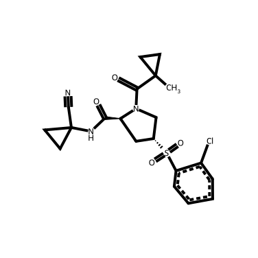 CC1(C(=O)N2C[C@H](S(=O)(=O)c3ccccc3Cl)C[C@H]2C(=O)NC2(C#N)CC2)CC1